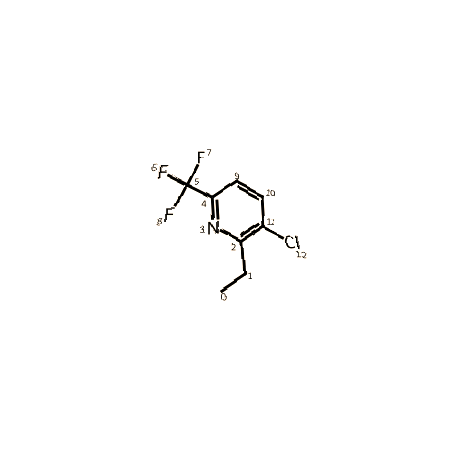 CCc1nc(C(F)(F)F)ccc1Cl